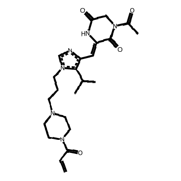 C=CC(=O)N1CCN(CCCn2cnc(/C=C3\NC(=O)CN(C(C)=O)C3=O)c2C(C)C)CC1